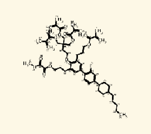 C=C(C)C(=O)OCCCc1cc(-c2ccc(C3CCC(CCCCC)CC3)cc2F)cc(CCCOC(=O)C(=O)OC)c1OCCC(COC(=O)C(=C)C)(COC(=O)C(=C)C)COC(=O)C(=C)C